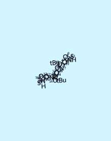 CC1Oc2ccc(CN(Cc3ccc(C[N+](C)(C(=O)OC(C)(C)C)c4ccc5c(c4)NC(=S)C(C)O5)cc3)C(=O)OC(C)(C)C)cc2NC1=S